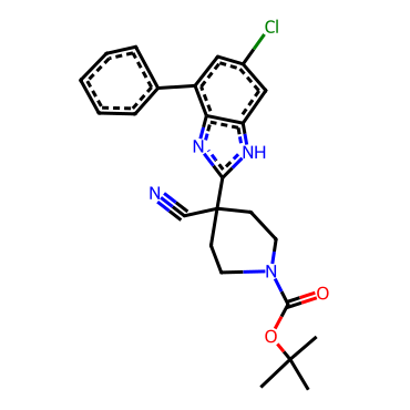 CC(C)(C)OC(=O)N1CCC(C#N)(c2nc3c(-c4ccccc4)cc(Cl)cc3[nH]2)CC1